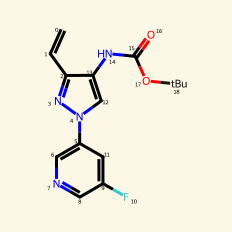 C=Cc1nn(-c2cncc(F)c2)cc1NC(=O)OC(C)(C)C